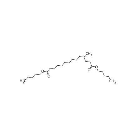 CCCCCOC(=O)CCCCCCCCCC(C)CCC(=O)OCCCCC